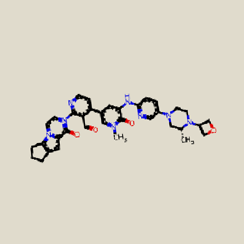 C[C@@H]1CN(c2ccc(Nc3cc(-c4ccnc(-n5ccn6c7c(cc6c5=O)CCC7)c4C=O)cn(C)c3=O)nc2)CCN1C1COC1